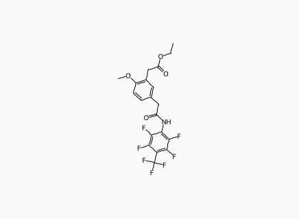 CCOC(=O)Cc1cc(CC(=O)Nc2c(F)c(F)c(C(F)(F)F)c(F)c2F)ccc1OC